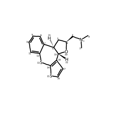 CN(C)C[C@@H]1C[C@@H]2c3ccccc3Sc3sccc3[C@H]2O1